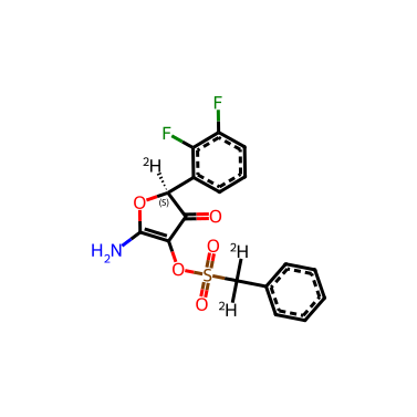 [2H]C([2H])(c1ccccc1)S(=O)(=O)OC1=C(N)O[C@@]([2H])(c2cccc(F)c2F)C1=O